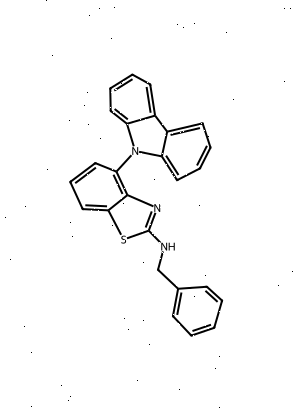 c1ccc(CNc2nc3c(-n4c5ccccc5c5ccccc54)cccc3s2)cc1